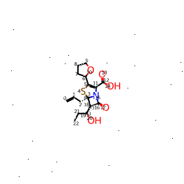 C=CC[C@]12SC(C3CCCO3)=C(C(=O)O)N1C(=O)[C@H]2[C@@H](O)CC